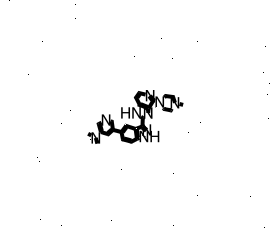 CN1CCN(c2nccc3[nH]c(-c4n[nH]c5ccc(-c6cncc(N(C)C)c6)cc45)nc23)CC1